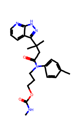 CNC(=O)OCCCN(C(=O)CC(C)(C)c1n[nH]c2ncccc12)c1ccc(C)cc1